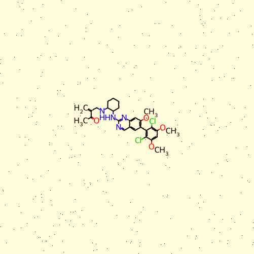 C=C(CNC1CCCCC1Nc1ncc2cc(-c3c(Cl)c(OC)cc(OC)c3Cl)c(OC)cc2n1)C(C)=O